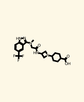 CN(CC(=O)NC1CN(C2CCC(C(=O)O)CC2)C1)c1n[nH]c2ccc(C(F)(F)F)cc12